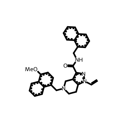 C=Cn1nc(C(=O)NCc2cccc3ccccc23)c2c1CCN(Cc1ccc(OC)c3ccccc13)C2